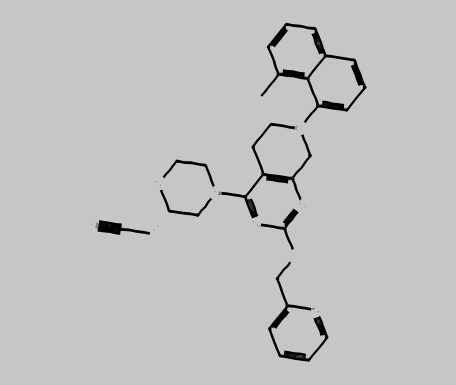 Cc1cccc2cccc(N3CCc4c(nc(OCc5ccccn5)nc4N4CCN[C@@H](CC#N)C4)C3)c12